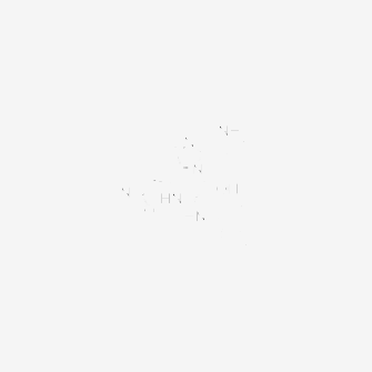 CC[C@H](N)c1noc([C@H](CC(N)=O)NC(=O)NC(C(=O)O)C(C)O)n1